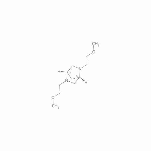 COCCN1C[C@@H]2C[C@H]1CN2CCOC